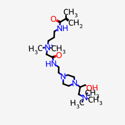 C=C(C)C(=O)NCCC[N+](C)(C)CC(=O)NCCN1CCN(C(CO)C[N+](C)(C)C)CC1